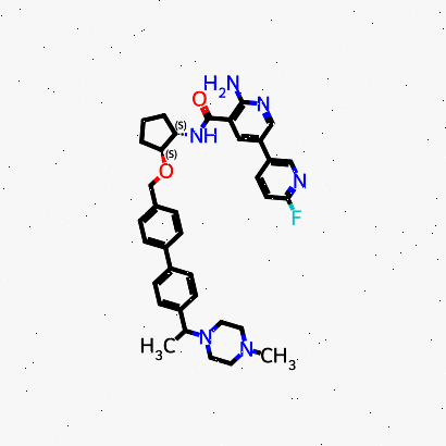 CC(c1ccc(-c2ccc(CO[C@H]3CCC[C@@H]3NC(=O)c3cc(-c4ccc(F)nc4)cnc3N)cc2)cc1)N1CCN(C)CC1